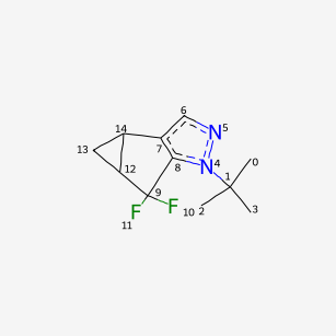 CC(C)(C)n1ncc2c1C(F)(F)C1CC21